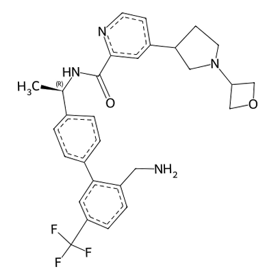 C[C@@H](NC(=O)c1cc(C2CCN(C3COC3)C2)ccn1)c1ccc(-c2cc(C(F)(F)F)ccc2CN)cc1